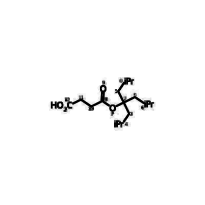 CC(C)CC(CC(C)C)(CC(C)C)OC(=O)CCC(=O)O